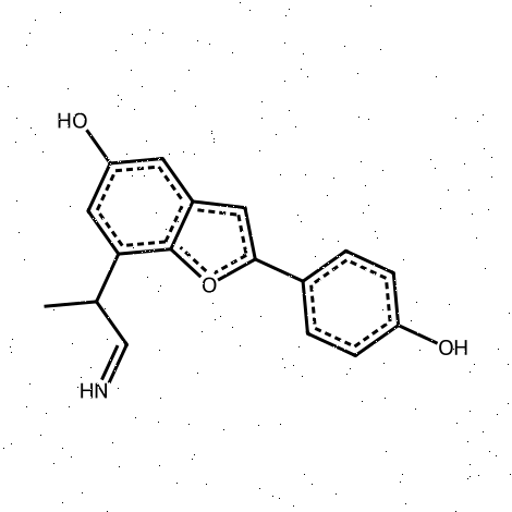 CC(C=N)c1cc(O)cc2cc(-c3ccc(O)cc3)oc12